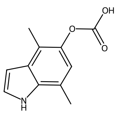 Cc1c(OC(=O)O)cc(C)c2[nH]ccc12